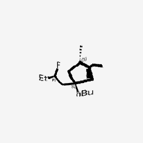 CCCC[C@]1(C[C@H](F)CC)C=C(C)[C@@H](C)C1